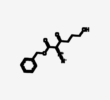 [N-]=[N+]=C(C(=O)CCCO)C(=O)OCc1ccccc1